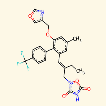 CCC(=Cc1cc(C)cc(OCc2cocn2)c1-c1ccc(C(F)(F)F)cc1)Cn1oc(=O)[nH]c1=O